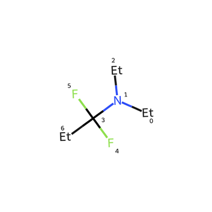 CCN(CC)C(F)(F)CC